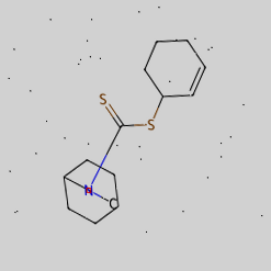 S=C(SC1C=CCCC1)N1CC2CCC(CC2)C1